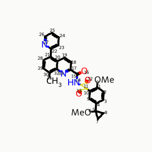 COc1ccc(C2(OC)CC2)cc1S(=O)(=O)NC(=O)c1ccc2c(-c3ccccn3)ccc(C)c2n1